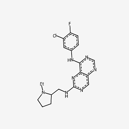 CCN1CCCC1CNc1ncc2ncnc(Nc3ccc(F)c(Cl)c3)c2n1